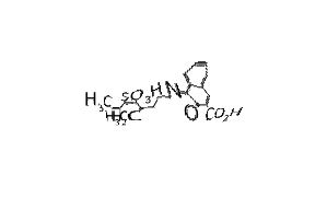 C=C(CCC/N=C1\C(=O)C(C(=O)O)=Cc2ccccc21)/C(=C\C(C)=C/C)S(=O)(=O)O